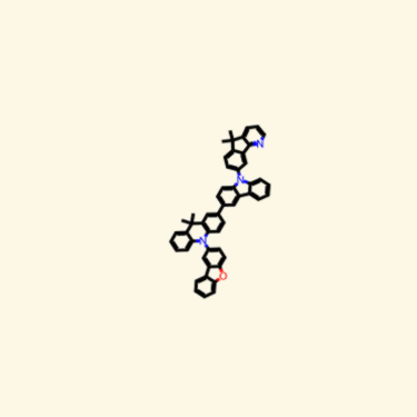 CC1(C)c2ccccc2N(c2ccc3oc4ccccc4c3c2)c2ccc(-c3ccc4c(c3)c3ccccc3n4-c3ccc4c(c3)-c3ncccc3C4(C)C)cc21